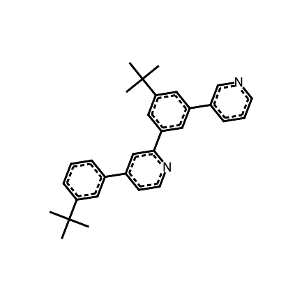 CC(C)(C)c1cccc(-c2ccnc(-c3cc(-c4cccnc4)cc(C(C)(C)C)c3)c2)c1